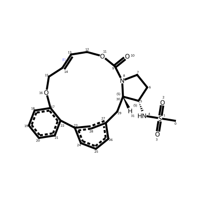 CS(=O)(=O)N[C@H]1CCN2C(=O)OC/C=C/COc3ccccc3-c3cccc(c3)C[C@@H]12